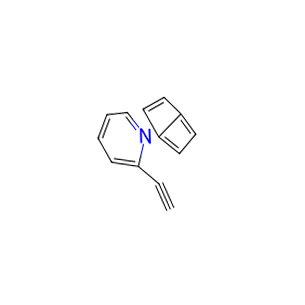 C#Cc1ccccn1.c1cc2ccc1-2